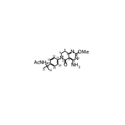 COc1nc(N)c2c(n1)CCN(c1ccc(C(C)(C)NC(C)=O)cc1)C2=O